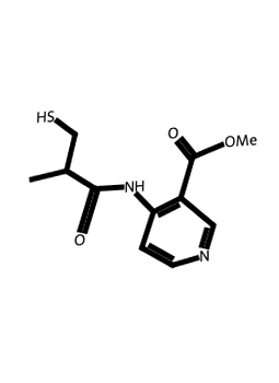 COC(=O)c1cnccc1NC(=O)C(C)CS